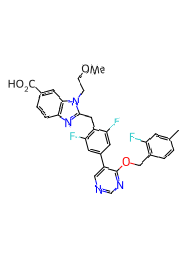 COCCn1c(Cc2c(F)cc(-c3cncnc3OCc3ccc(C)cc3F)cc2F)nc2ccc(C(=O)O)cc21